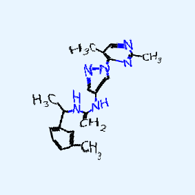 C=C(Nc1cnn(-c2nc(C)ncc2C)c1)NC(C)c1cccc(C)c1